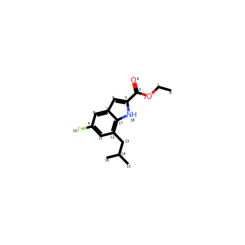 CCOC(=O)c1cc2cc(F)cc(CC(C)C)c2[nH]1